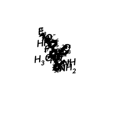 Cc1cc(-c2cccc(N[S+]([O-])CCCF)c2F)cc2c(N3CCOCC3)nc(-c3cccc(N)c3C=N)nc12